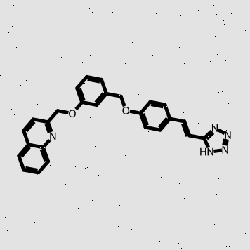 C(=Cc1nnn[nH]1)c1ccc(OCc2cccc(OCc3ccc4ccccc4n3)c2)cc1